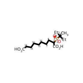 CCC(C)(CC)S(=O)(=O)C(CCCCCCCC(=O)O)C(=O)O